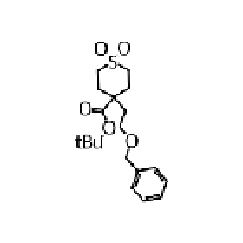 CC(C)(C)OC(=O)C1(CCOCc2ccccc2)CCS(=O)(=O)CC1